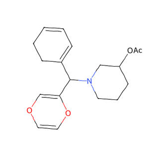 CC(=O)OC1CCCN(C(C2=CC=CCC2)C2=COC=CO2)C1